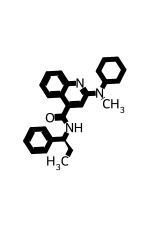 CC[C@H](NC(=O)c1cc(N(C)C2CCCCC2)nc2ccccc12)c1ccccc1